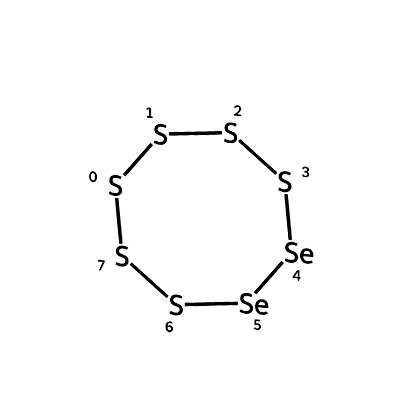 S1SSS[Se][Se]SS1